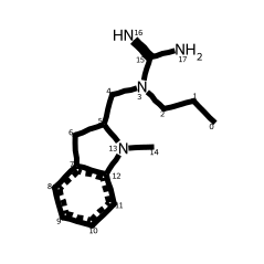 CCCN(CC1Cc2ccccc2N1C)C(=N)N